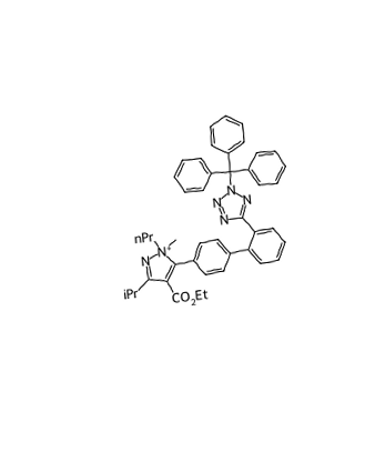 CCC[N+]1(C)N=C(C(C)C)C(C(=O)OCC)=C1c1ccc(-c2ccccc2-c2nnn(C(c3ccccc3)(c3ccccc3)c3ccccc3)n2)cc1